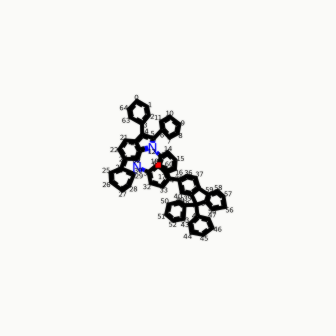 c1ccc(-c2c(-c3ccccc3)n(-c3ccccc3)c3c2ccc2c4ccccc4n(-c4ccc(-c5ccc6c(c5)C(c5ccccc5)(c5ccccc5)c5ccccc5-6)cc4)c23)cc1